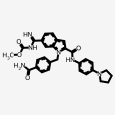 COC(=O)NC(=N)c1ccc2cc(C(=O)Nc3ccc(N4CCCC4)cc3)n(Cc3ccc(C(N)=O)cc3)c2c1